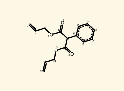 C=CCOC(=O)C(C(=O)OCC=C)c1ccccc1